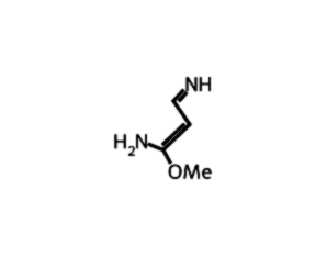 CO/C(N)=C/C=N